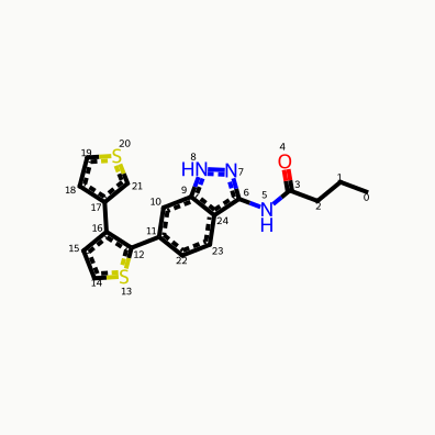 CCCC(=O)Nc1n[nH]c2cc(-c3sccc3-c3ccsc3)ccc12